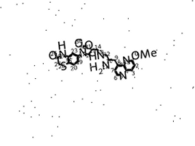 COc1ccc2nccc(C[C@@H](N)CNCC3CN(c4ccc5c(c4)NC(=O)CS5)C(=O)O3)c2n1